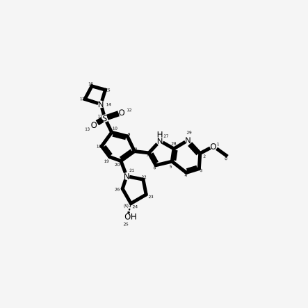 COc1ccc2cc(-c3cc(S(=O)(=O)N4CCC4)ccc3N3CC[C@H](O)C3)[nH]c2n1